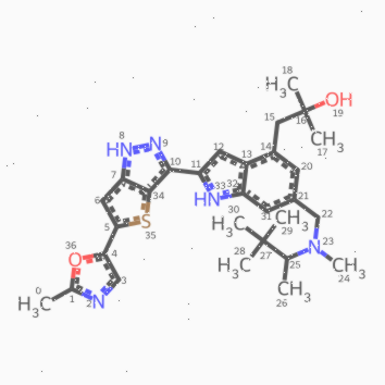 Cc1ncc(-c2cc3[nH]nc(-c4cc5c(CC(C)(C)O)cc(CN(C)C(C)C(C)(C)C)cc5[nH]4)c3s2)o1